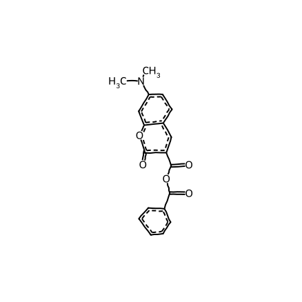 CN(C)c1ccc2cc(C(=O)OC(=O)c3ccccc3)c(=O)oc2c1